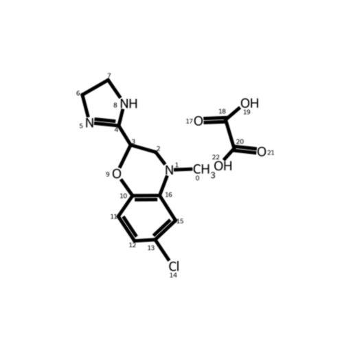 CN1CC(C2=NCCN2)Oc2ccc(Cl)cc21.O=C(O)C(=O)O